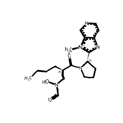 CCCC[C@H](CN(O)C=O)C(=O)N1CCC[C@H]1c1nc2ccncc2n1C